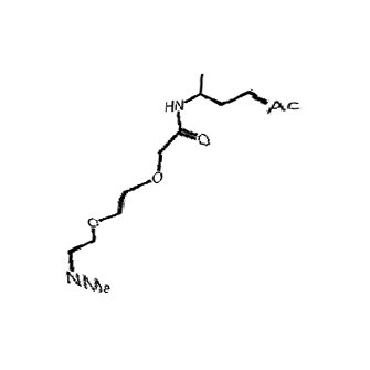 CNCCOCCOCC(=O)NC(C)CCC(C)=O